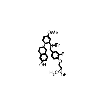 CCCN(C)CCOc1ccc(CN(C(C)C)C2C=C(OC)C=CC2[C@@H]2CCc3cc(O)ccc3C2)cc1F